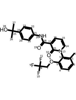 Cc1cccc(OCC(F)(F)F)c1-n1cccc(C(=O)Nc2ccc(C(C)(C)O)cc2)c1=O